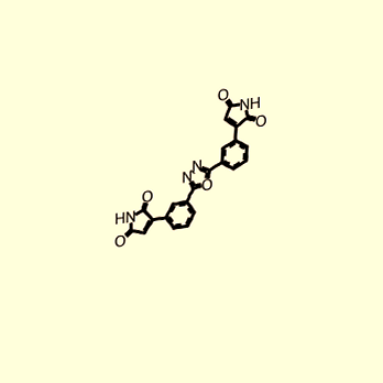 O=C1C=C(c2cccc(-c3nnc(-c4cccc(C5=CC(=O)NC5=O)c4)o3)c2)C(=O)N1